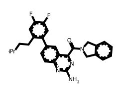 C[C](C)CCc1cc(F)c(F)cc1-c1ccc2nc(N)nc(C(=O)N3Cc4ccccc4C3)c2c1